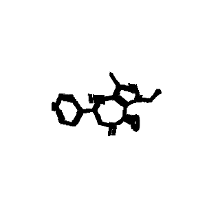 CCn1nc(C)c2c1C(=O)NCC(c1ccncc1)N2